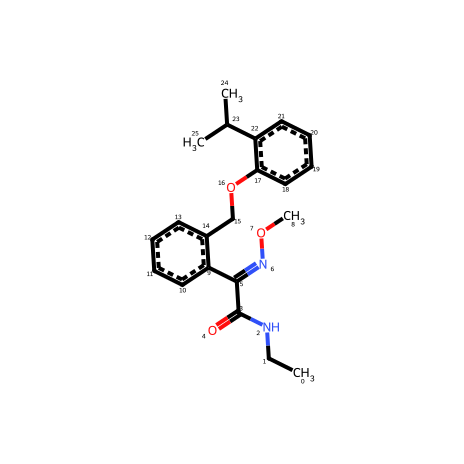 CCNC(=O)/C(=N/OC)c1ccccc1COc1ccccc1C(C)C